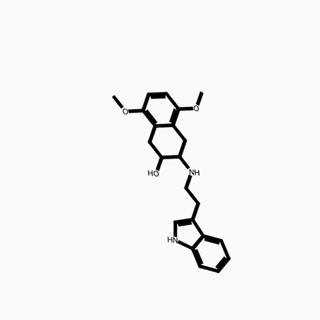 COc1ccc(OC)c2c1CC(O)C(NCCc1c[nH]c3ccccc13)C2